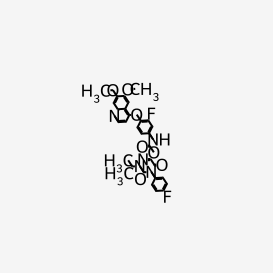 COc1cc2nccc(Oc3ccc(NC(=O)Oc4nn(C(C)C)c(=O)n(-c5ccc(F)cc5)c4=O)cc3F)c2cc1OC